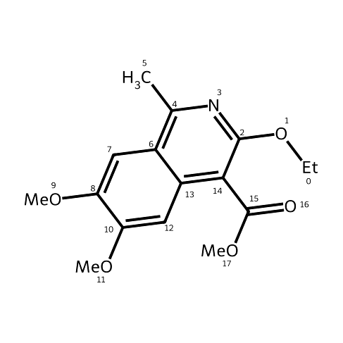 CCOc1nc(C)c2cc(OC)c(OC)cc2c1C(=O)OC